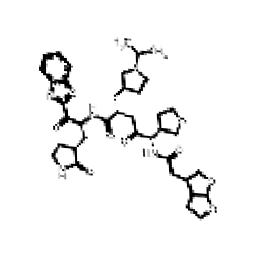 CC(C)N1CCC(C[C@H](CC(=O)[C@@H](NC(=O)CC2COC3OCCC23)C2CCOC2)C(=O)N[C@@H](C[C@@H]2CCNC2=O)C(=O)c2nc3ccccc3s2)C1